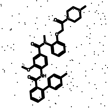 COc1cc(C(=O)N(C)c2ccccc2OCC(=O)N2CCN(C)CC2)ccc1NC(=O)c1ccccc1-c1ccc(C)cc1